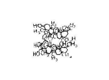 C[C@H]1[C@H](C)CC[C@]2(C(=O)O)CC[C@]3(C)C(=CCC4[C@@]5(C)CC[C@H](O)C(C)(C)C5CC[C@]43C)[C@H]12.C[C@H]1[C@H](C)CC[C@]2(C)CC[C@]3(C)C(=CC[C@@H]4[C@@]5(C)C[C@@H](O)[C@H](O)[C@@](C)(CO)C5CC[C@]43C)[C@H]12